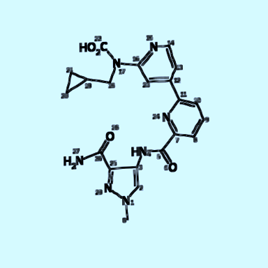 Cn1cc(NC(=O)c2cccc(-c3ccnc(N(CC4CC4)C(=O)O)c3)n2)c(C(N)=O)n1